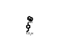 O=C(O)C=Cc1ccc(CNC23CC4CC(CC(C4)C2)C3)cc1